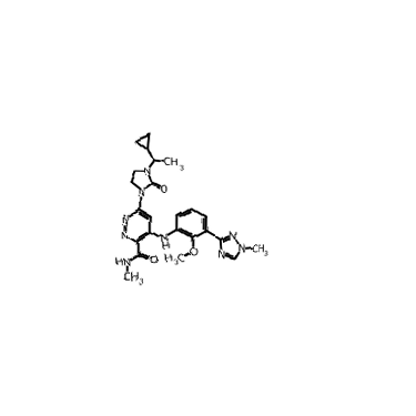 CNC(=O)c1nnc(N2CCN(C(C)C3CC3)C2=O)cc1Nc1cccc(-c2ncn(C)n2)c1OC